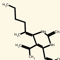 C=C1NC(/C=C\C)=C(C(=C)C)C(=C(\C)CCCC)/N1